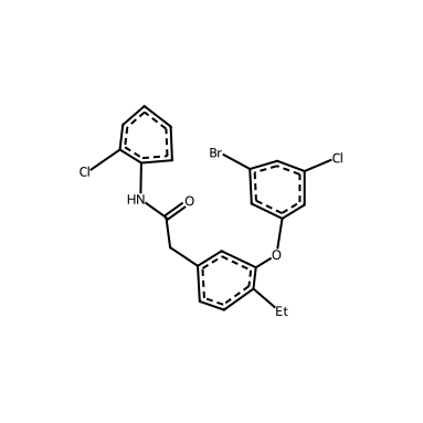 CCc1ccc(CC(=O)Nc2ccccc2Cl)cc1Oc1cc(Cl)cc(Br)c1